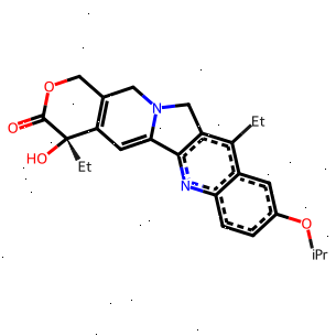 CCc1c2c(nc3ccc(OC(C)C)cc13)C1=CC3=C(COC(=O)[C@]3(O)CC)CN1C2